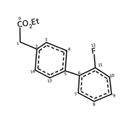 CCOC(=O)Cc1ccc(-c2ccccc2F)cc1